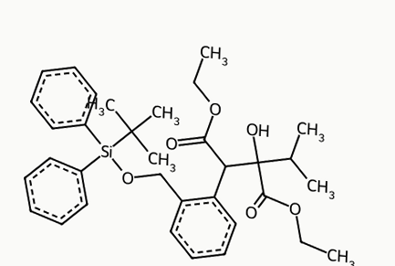 CCOC(=O)C(c1ccccc1CO[Si](c1ccccc1)(c1ccccc1)C(C)(C)C)C(O)(C(=O)OCC)C(C)C